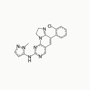 Cn1nccc1Nc1ncc2c(n1)N1CCN=C1C(c1ccccc1Cl)=C2